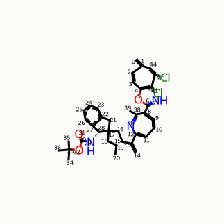 C=C1C=CC(OC(=N)C2=C=CC=C(C(=C)CCC3(CCC)Cc4ccccc4[C@H]3NC(=O)OC(C)(C)C)N=C2C)=C(Cl)C(Cl)=C1